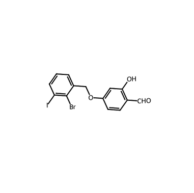 O=Cc1ccc(OCc2cccc(I)c2Br)cc1O